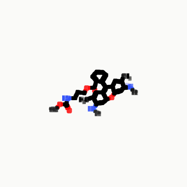 CC/N=C1\C=C2OC3C=C(NCC)C(C)=CC3=C(c3ccccc3C(=O)OCCCNC(=O)OC(C)(C)C)C2C=C1C